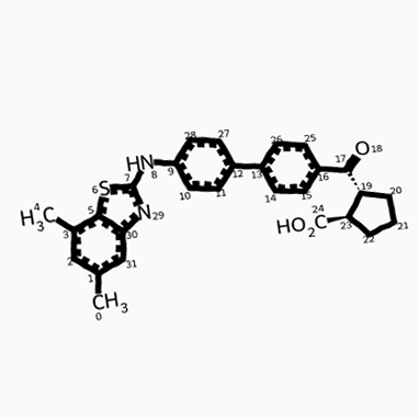 Cc1cc(C)c2sc(Nc3ccc(-c4ccc(C(=O)[C@@H]5CCC[C@H]5C(=O)O)cc4)cc3)nc2c1